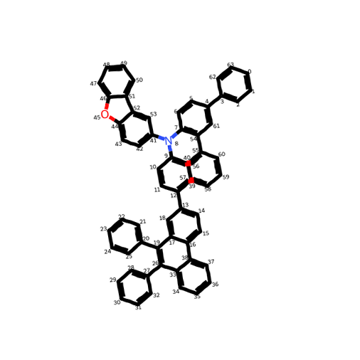 c1ccc(-c2ccc(N(c3ccc(-c4ccc5c(c4)c(-c4ccccc4)c(-c4ccccc4)c4ccccc45)cc3)c3ccc4oc5ccccc5c4c3)c(-c3ccccc3)c2)cc1